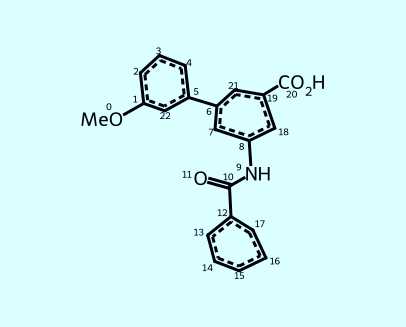 COc1cccc(-c2cc(NC(=O)c3ccccc3)cc(C(=O)O)c2)c1